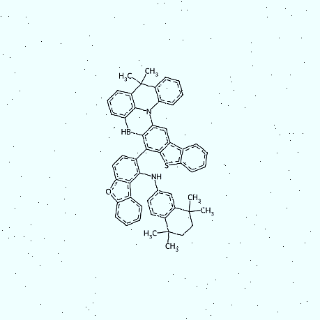 CC1(C)CCC(C)(C)c2cc(Nc3c(-c4c5c(cc6c4sc4ccccc46)N4c6ccccc6C(C)(C)c6cccc(c64)B5)ccc4oc5ccccc5c34)ccc21